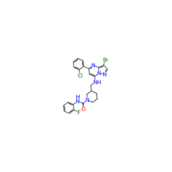 O=C(Nc1ccccc1F)N1CCCC(CNc2cc(-c3ccccc3Cl)nc3c(Br)cnn23)C1